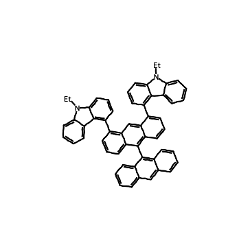 CCn1c2ccccc2c2c(-c3cccc4c(-c5c6ccccc6cc6ccccc56)c5cccc(-c6cccc7c6c6ccccc6n7CC)c5cc34)cccc21